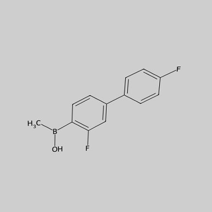 CB(O)c1ccc(-c2ccc(F)cc2)cc1F